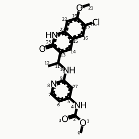 COC(=O)Nc1ccnc(NC(C)c2cc3cc(Cl)c(OC)cc3[nH]c2=O)c1